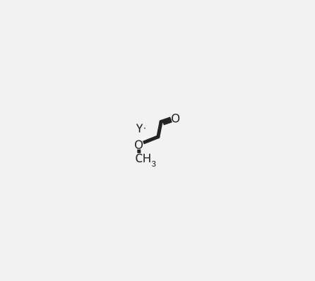 COCC=O.[Y]